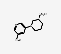 CCOC(=O)[C@H]1CCCN(c2cncc(OC)c2)C1